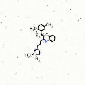 C=C/C=C(\C=C/C)CCC/C(CCC1=CC(C)=CCC1(C)C)=N/c1ccccc1C